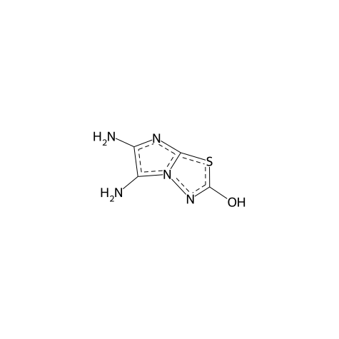 Nc1nc2sc(O)nn2c1N